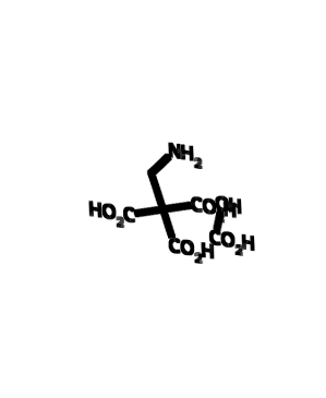 NCC(C(=O)O)(C(=O)O)C(=O)O.O=C(O)O